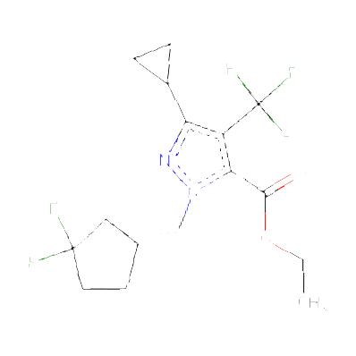 CCOC(=O)c1c(C(F)(F)F)c(C2CC2)nn1C[C@@H]1CCC(F)(F)C1